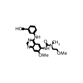 C#Cc1cccc(Nc2ncnc3cc(OC)c(NC(=O)N(C)CCOC)cc23)c1